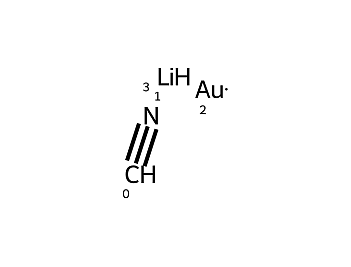 C#N.[Au].[LiH]